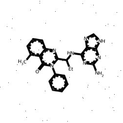 CCC(Nc1nc(N)nc2[nH]cnc12)c1nc2cccc(C)c2c(=O)n1-c1ccccc1